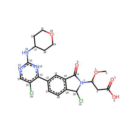 COC(CC(=O)O)N1C(=O)c2cc(-c3nc(NC4CCOCC4)ncc3Cl)ccc2C1Cl